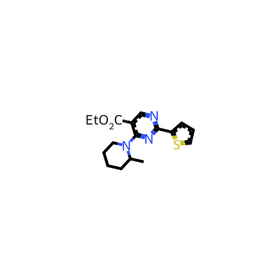 CCOC(=O)c1cnc(-c2cccs2)nc1N1CCCCC1C